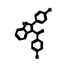 O=C(c1ccc(Cl)cc1)c1c(-c2ccc(Cl)cc2)[nH]c2ccccc12